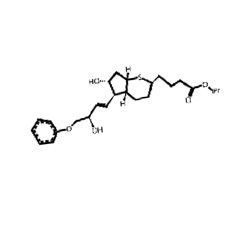 CC(C)OC(=O)CCC[C@H]1CC[C@@H]2[C@@H](C=C[C@@H](O)COc3ccccc3)[C@H](O)C[C@@H]2S1